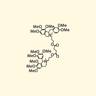 COc1ccc(CC2c3c(cc(OC)c(OC)c3OC)CC[N+]2(C)CCCOC(=O)CCC(=O)OCCC[N+]2(C)CCc3cc(OC)c(OC)c(OC)c3C2c2cc(OC)c(OC)c(OC)c2)cc1OC